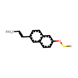 CCOC(=O)/C=C/c1ccc2cc(OSBr)ccc2c1